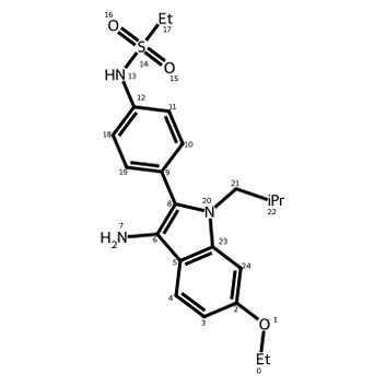 CCOc1ccc2c(N)c(-c3ccc(NS(=O)(=O)CC)cc3)n(CC(C)C)c2c1